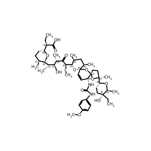 CC[C@@H](C(=O)[C@@H](C)[C@@H](O)[C@H](C)[C@@H]1O[C@@H]([C@@H](CC)C(=O)O)CC[C@@H]1C)[C@H]1O[C@]2(C=C[C@@H](NC(=O)Nc3ccc(OC)cc3)[C@]3(CC[C@@](C)([C@H]4CC[C@](O)(CC)[C@H](C)O4)O3)O2)[C@H](C)C[C@@H]1C